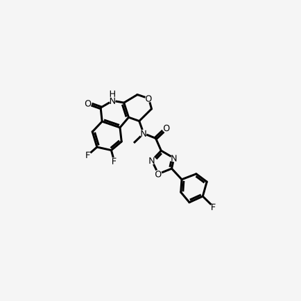 CN(C(=O)c1noc(-c2ccc(F)cc2)n1)C1COCc2[nH]c(=O)c3cc(F)c(F)cc3c21